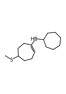 CSC1CCC=C(BC2CCCCCC2)CC1